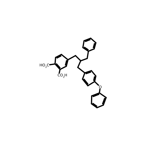 O=C(O)c1ccc(CC(Cc2ccccc2)Cc2ccc(Oc3ccccc3)cc2)cc1C(=O)O